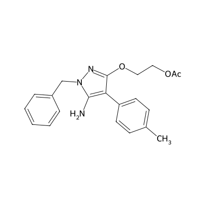 CC(=O)OCCOc1nn(Cc2ccccc2)c(N)c1-c1ccc(C)cc1